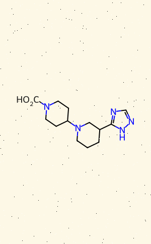 O=C(O)N1CCC(N2CCCC(c3ncn[nH]3)C2)CC1